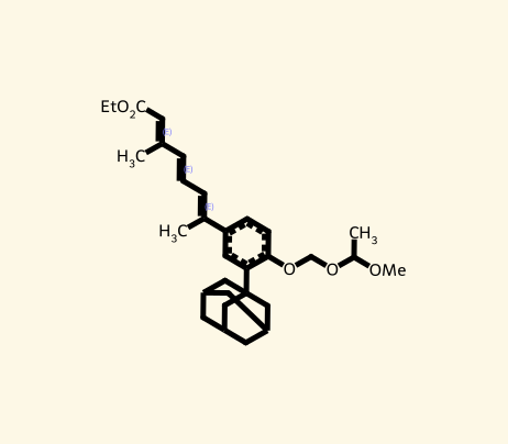 CCOC(=O)/C=C(C)/C=C/C=C(\C)c1ccc(OCOC(C)OC)c(C23CC4CC(CC(C4)C2)C3)c1